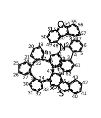 c1ccc(-c2ccccc2N(c2ccc3c(c2)c2ccccc2c2ccccc2c2ccccc2c2cc4sc5ccccc5c4cc32)c2cccc3oc4ccccc4c23)cc1